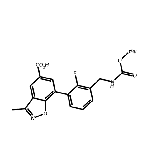 Cc1noc2c(-c3cccc(CNC(=O)OC(C)(C)C)c3F)cc(C(=O)O)cc12